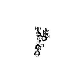 Cc1nn2c3c(nc2s1)CCN(C(=O)COc1ccc(N2CCOCC2)nc1Cl)C3c1csc(CO)c1